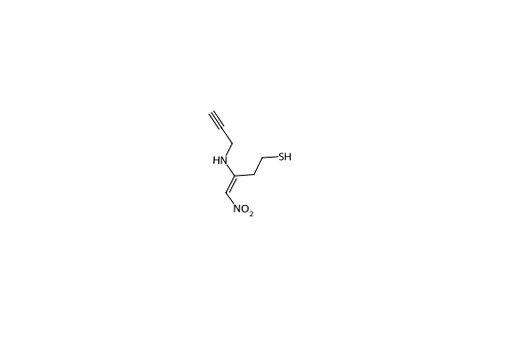 C#CCN/C(=C/[N+](=O)[O-])CCS